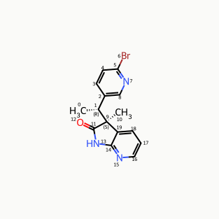 C[C@H](c1ccc(Br)nc1)[C@]1(C)C(=O)Nc2ncccc21